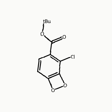 CC(C)(C)OC(=O)c1ccc2ooc2c1Cl